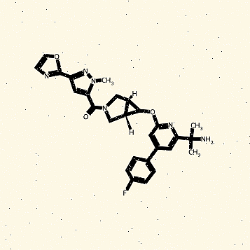 Cn1nc(-c2ncco2)cc1C(=O)N1C[C@@H]2C(Oc3cc(-c4ccc(F)cc4)cc(C(C)(C)N)n3)[C@@H]2C1